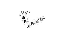 [Br-].[Br-].[Br-].[Br-].[Br-].[Br-].[Mo+6]